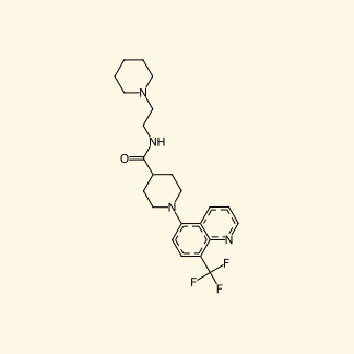 O=C(NCCN1CCCCC1)C1CCN(c2ccc(C(F)(F)F)c3ncccc23)CC1